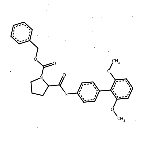 COc1cccc(OC)c1-c1ccc(NC(=O)C2CCCN2C(=O)OCc2ccccc2)cc1